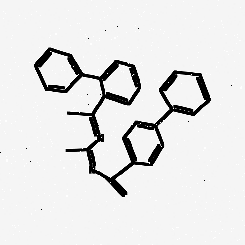 C=C(/N=C(C)\N=C(/C)c1ccccc1-c1ccccc1)c1ccc(-c2ccccc2)cc1